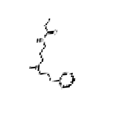 CCC(=O)NCCCN(C)CCCc1ccccn1